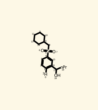 [2H]c1ccc(S(=O)(=O)CC2CCCCC2)cc1C(O)CCC